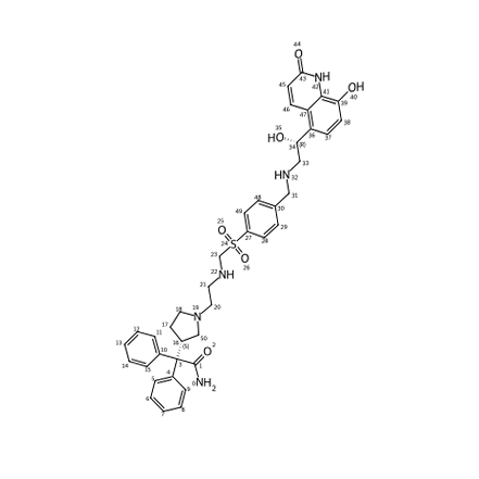 NC(=O)C(c1ccccc1)(c1ccccc1)[C@@H]1CCN(CCNCS(=O)(=O)c2ccc(CNC[C@H](O)c3ccc(O)c4[nH]c(=O)ccc34)cc2)C1